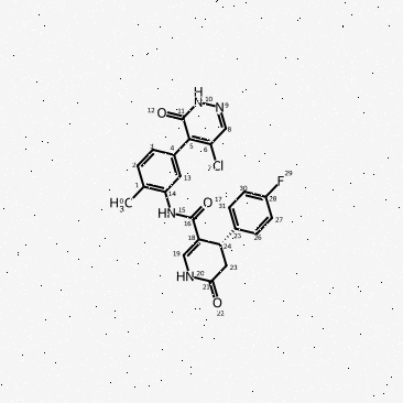 Cc1ccc(-c2c(Cl)cn[nH]c2=O)cc1NC(=O)C1=CNC(=O)C[C@H]1c1ccc(F)cc1